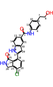 O=C(Nc1ccc(CCO)cc1)c1ccc2[nH]c(-c3ccc(Cl)c4c3C(=O)NC4)cc2c1